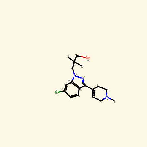 CN1CC=C(c2nn(CC(C)(C)CO)c3cc(Br)ccc23)CC1